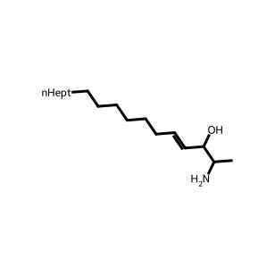 CCCCCCCCCCCCC/C=C/C(O)C(C)N